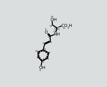 O=C(C=Cc1ccc(O)cc1)N[C@@H](CO)C(=O)O